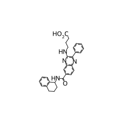 O=C(O)CCCNc1nc2cc(C(=O)NC3CCCc4ccccc43)ccc2nc1-c1ccccc1